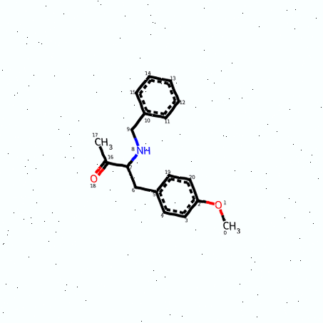 COc1ccc(CC(NCc2ccccc2)C(C)=O)cc1